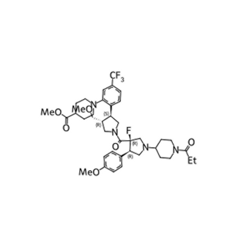 CCC(=O)N1CCC(N2C[C@@H](c3ccc(OC)cc3)[C@](F)(C(=O)N3C[C@H](COC)[C@@H](c4ccc(C(F)(F)F)cc4N4CCC(C(=O)OC)CC4)C3)C2)CC1